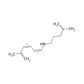 C=C(C)/C=C\C=C/NCCCC(=C)C